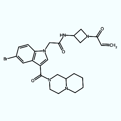 C=CC(=O)N1CC(NC(=O)Cn2cc(C(=O)N3CCN4CCCCC4C3)c3cc(Br)ccc32)C1